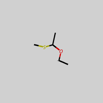 C[CH]OC(C)SC